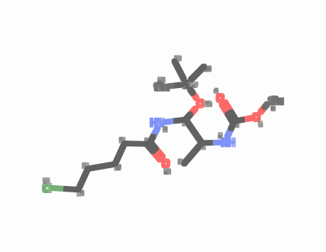 CC(NC(=O)OC(C)(C)C)C(NC(=O)CCCCCl)O[Si](C)(C)C(C)(C)C